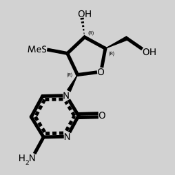 CSC1[C@H](n2ccc(N)nc2=O)O[C@H](CO)[C@H]1O